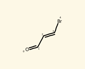 O=[C]C=CBr